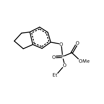 CCOP(=O)(Oc1ccc2c(c1)CCC2)C(=O)OC